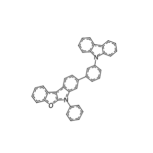 c1ccc(-n2c3cc(-c4cccc(-n5c6ccccc6c6ccccc65)c4)ccc3c3c4ccccc4oc32)cc1